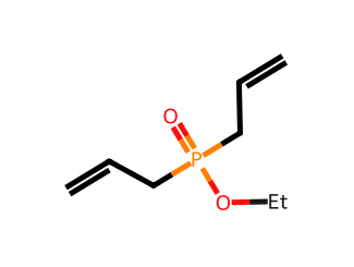 C=CCP(=O)(CC=C)OCC